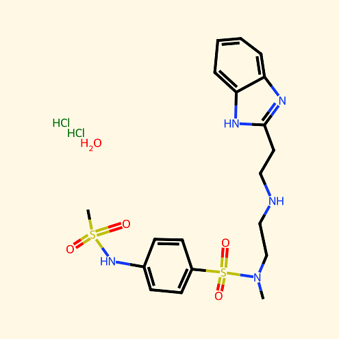 CN(CCNCCc1nc2ccccc2[nH]1)S(=O)(=O)c1ccc(NS(C)(=O)=O)cc1.Cl.Cl.O